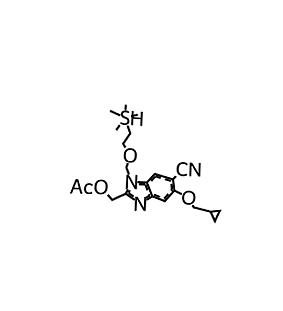 CC(=O)OCc1nc2cc(OCC3CC3)c(C#N)cc2n1COCC[SH](C)(C)(C)C